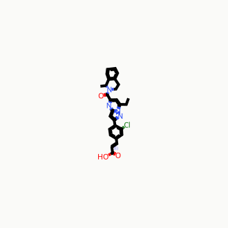 CCc1cc(C(=O)N2CCc3ccccc3C2C)nc2cc(-c3ccc(/C=C/C(=O)O)cc3Cl)nn12